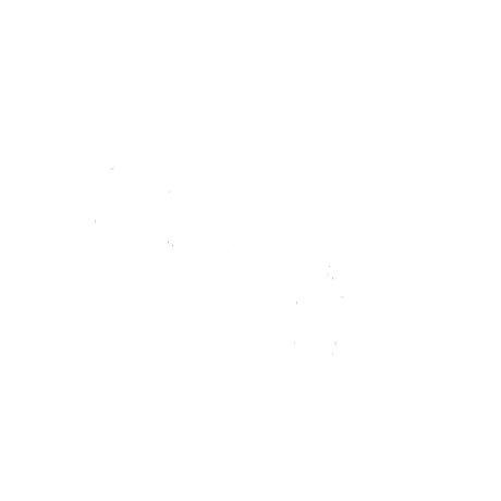 COCCN([C@H]1CCc2c(C(=O)Nc3ccc(F)c(Cl)c3)ccc(F)c21)S(=O)(=O)O